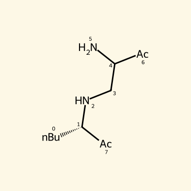 CCCC[C@H](NCC(N)C(C)=O)C(C)=O